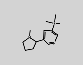 CN1CCCC1c1cncc([Si](C)(C)C)c1